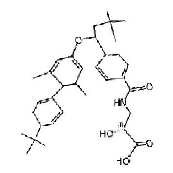 CC1=CC(OC(CC(C)(C)C)C2C=CC(C(=O)NC[C@@H](O)C(=O)O)=CC2)=CC(C)C1C1=CCC(C(C)(C)C)C=C1